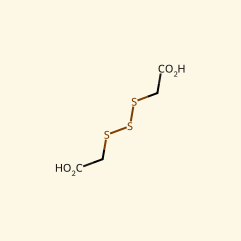 O=C(O)CSSSCC(=O)O